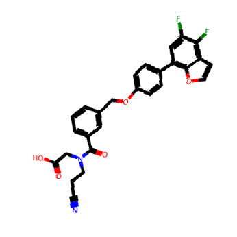 N#CCCN(CC(=O)O)C(=O)c1cccc(COc2ccc(-c3cc(F)c(F)c4ccoc34)cc2)c1